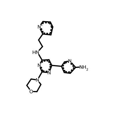 Nc1ccc(-c2cc(NCCc3ccccn3)nc(N3CCOCC3)n2)cn1